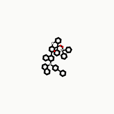 c1ccc(-c2ccc(N(c3cccc4ccccc34)c3ccc(-c4ccc5c(c4)C4(c6ccccc6O5)c5ccccc5[Si](c5ccccc5)(c5ccccc5)c5ccccc54)c4ccccc34)cc2)cc1